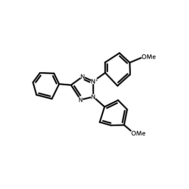 COc1ccc(-n2nc(-c3ccccc3)n[n+]2-c2ccc(OC)cc2)cc1